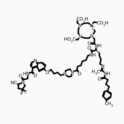 C/C(=N\CCCC[C@H](NC(=O)CN1CCN(CC(=O)O)CCN(CC(=O)O)CCN(CC(=O)O)CC1)C(=O)NCCCCCC(=O)N1CCN(CCCCOc2ccc3nccc(C(=O)NCC(=O)N4CC(F)(F)C[C@@H]4C#N)c3c2)CC1)NC(=O)CCCc1ccc(C)cc1